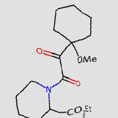 CCOC(=O)C1CCCCN1C(=O)C(=O)C1(OC)CCCCC1